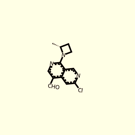 C[C@@H]1CCN1c1ncc(C=O)c2cc(Cl)ncc12